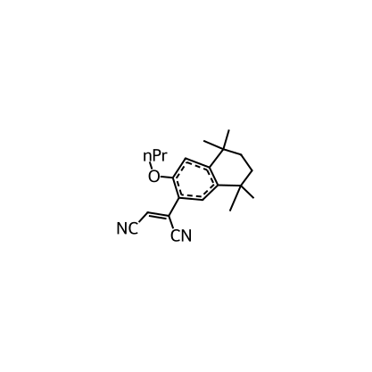 CCCOc1cc2c(cc1C(C#N)=CC#N)C(C)(C)CCC2(C)C